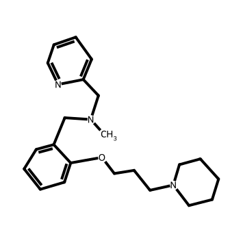 CN(Cc1ccccn1)Cc1ccccc1OCCCN1CCCCC1